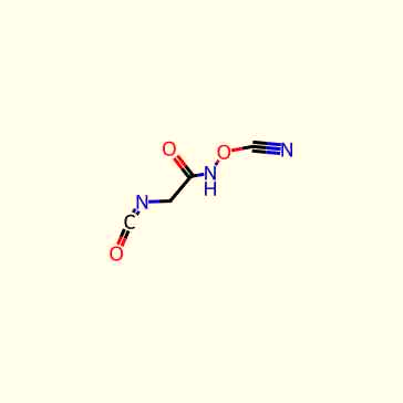 N#CONC(=O)CN=C=O